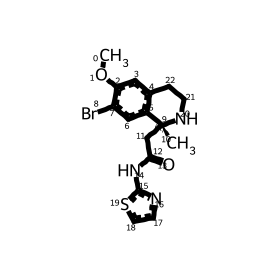 COc1cc2c(cc1Br)[C@@](C)(CC(=O)Nc1nccs1)NCC2